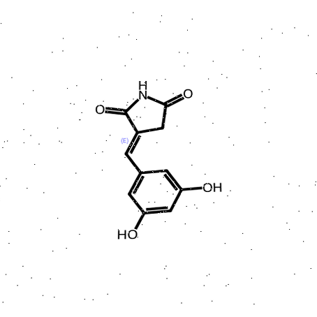 O=C1C/C(=C\c2cc(O)cc(O)c2)C(=O)N1